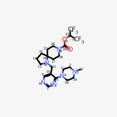 CN1CCN(c2ncncc2CN2CCCC23CCN(C(=O)OC(C(F)(F)F)C(F)(F)F)CC3)CC1